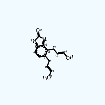 O=C1N=c2ccc(CC=CO)c(CC=CO)c2=N1